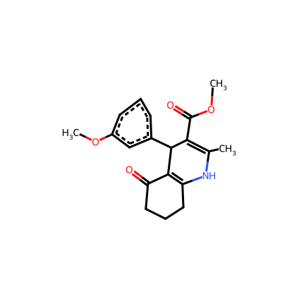 COC(=O)C1=C(C)NC2=C(C(=O)CCC2)C1c1cccc(OC)c1